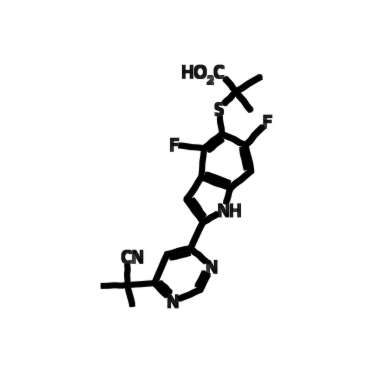 CC(C)(Sc1c(F)cc2[nH]c(-c3cc(C(C)(C)C#N)ncn3)cc2c1F)C(=O)O